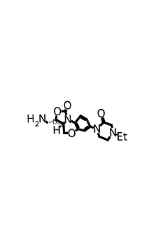 CCN1CCN(c2ccc3c(c2)OC[C@H]2[C@H](CN)OC(=O)N32)C(=O)C1